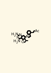 CC(=O)C=Cc1cccc2c1ccn2-c1cc2nc(N)nc(N)c2c2c1C(C)CO2